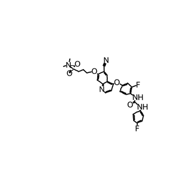 CN(C)S(=O)(=O)CCCOc1cc2nccc(Oc3ccc(NC(=O)Nc4ccc(F)cc4)c(F)c3)c2cc1C#N